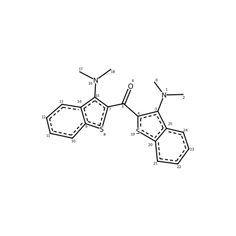 CN(C)c1c(C(=O)c2sc3ccccc3c2N(C)C)sc2ccccc12